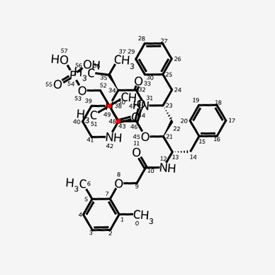 Cc1cccc(C)c1OCC(=O)N[C@@H](Cc1ccccc1)[C@H](C[C@@H](Cc1ccccc1)NC(=O)[C@H](C(C)C)N1CCCNC1=O)OC(=O)CC(C)(C)COP(=O)(O)O